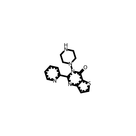 O=c1c2sccc2nc(-c2ccccn2)n1N1CCNCC1